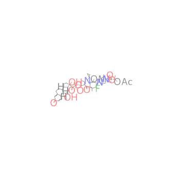 COc1c(N2CCN(C(=O)OC(C)OC(C)=O)C(C)C2)c(F)c(C)c2c(=O)c(C(=O)OC(C)(C)C(=O)[C@@]3(O)CC[C@H]4[C@@H]5CCC6=CC(=O)C=C[C@]6(C)[C@H]5[C@@H](O)C[C@@]43C)c(C)n(C3CC3)c12